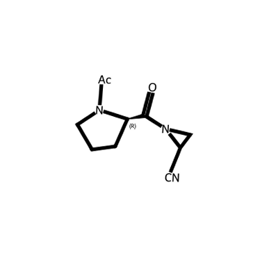 CC(=O)N1CCC[C@@H]1C(=O)N1CC1C#N